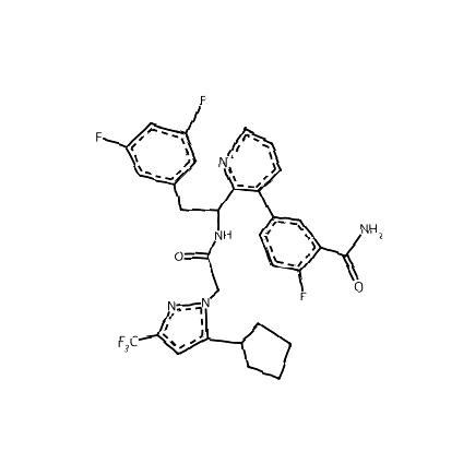 NC(=O)c1cc(-c2cccnc2C(Cc2cc(F)cc(F)c2)NC(=O)Cn2nc(C(F)(F)F)cc2C2CCCC2)ccc1F